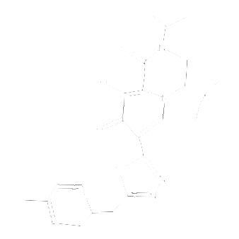 CC(C)N1C[C@H](C(C)(C)C)n2cc(-c3nnc(Cc4ccc(F)cc4)s3)c(=O)c(O)c2C1=O